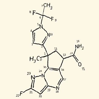 CC1(c2ccn(C(C)(F)F)n2)CC(C(N)=O)c2cnc3cc(F)nn3c21